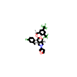 Cc1cc(F)ccc1[C@@H]1[C@@H](O[C@H](C)c2cc(C(F)(F)F)cc(C(F)(F)F)c2)OC[C@@H]2CN(c3ccoc3)C[C@H]21